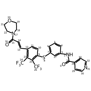 O=C(Nc1cccc(Sc2ccc(C=CC(=O)N3CCOCC3)c(C(F)(F)F)c2C(F)(F)F)c1)c1ccncc1